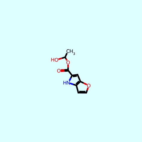 CC(O)OC(=O)c1cc2occc2[nH]1